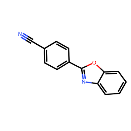 N#Cc1ccc(-c2nc3ccccc3o2)cc1